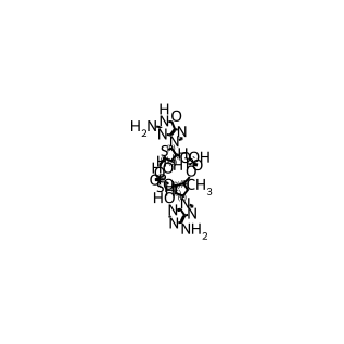 C[C@@]12COP(=O)(O)O[C@@H]3[C@H](O)[C@@H](CO[P@@](=O)(S)O[C@H]1[C@@H](O)[C@H](n1cnc4c(N)ncnc41)C2)S[C@H]3n1cnc2c(=O)[nH]c(N)nc21